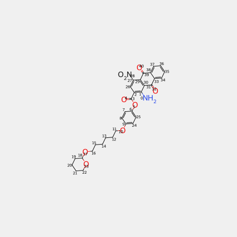 Nc1c(C(=O)Oc2ccc(OCCCCCCOC3CCCCO3)cc2)cc([N+](=O)[O-])c2c1C(=O)c1ccccc1C2=O